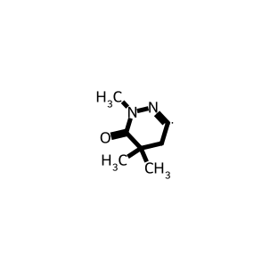 CN1N=[C]CC(C)(C)C1=O